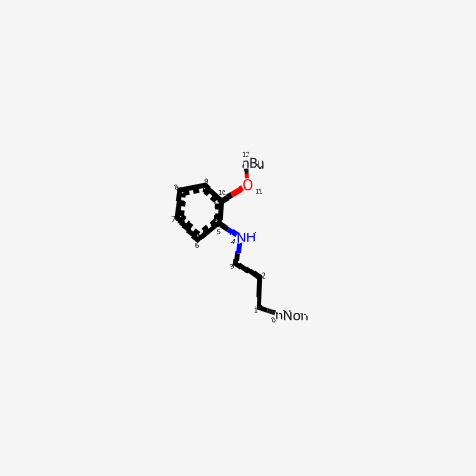 CCCCCCCCCCCCNc1ccccc1OCCCC